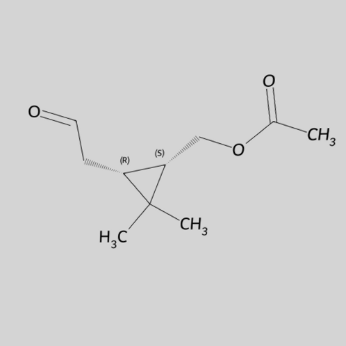 CC(=O)OC[C@H]1[C@@H](CC=O)C1(C)C